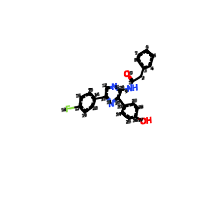 O=C(Cc1ccccc1)Nc1ncc(-c2ccc(F)cc2)nc1-c1ccc(O)cc1